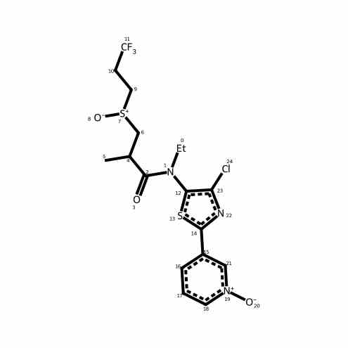 CCN(C(=O)C(C)C[S+]([O-])CCC(F)(F)F)c1sc(-c2ccc[n+]([O-])c2)nc1Cl